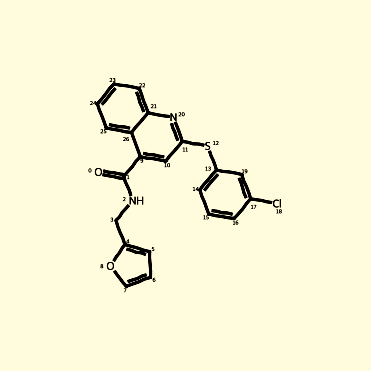 O=C(NCc1ccco1)c1cc(Sc2cccc(Cl)c2)nc2ccccc12